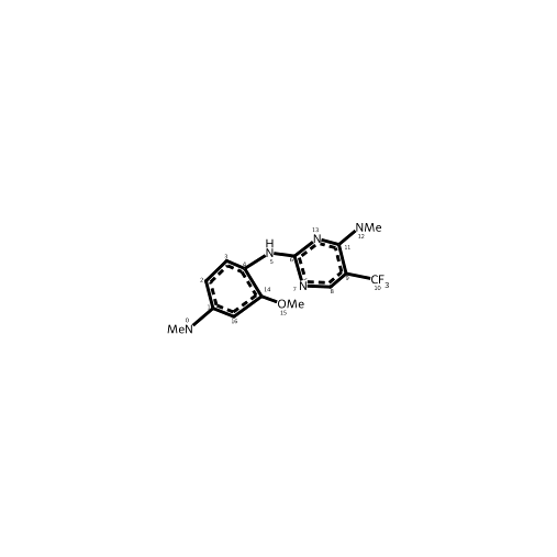 CNc1ccc(Nc2ncc(C(F)(F)F)c(NC)n2)c(OC)c1